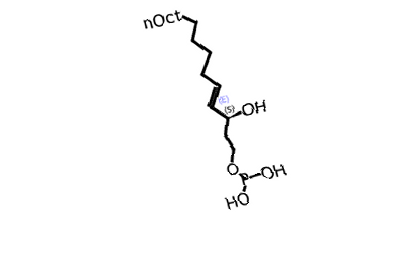 CCCCCCCCCCCC/C=C/[C@@H](O)CCOP(O)O